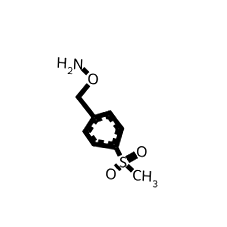 CS(=O)(=O)c1ccc(CON)cc1